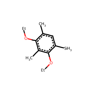 CCOc1c(C)cc([SiH3])c(OCC)c1C